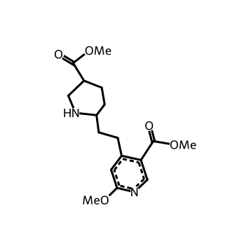 COC(=O)c1cnc(OC)cc1CCC1CCC(C(=O)OC)CN1